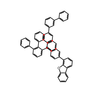 c1ccc(-c2cccc(-c3ccc(N(c4ccc(-c5cccc6c5oc5ccccc56)cc4)c4cccc(-c5ccccc5)c4-c4ccccc4-c4ccccc4)cc3)c2)cc1